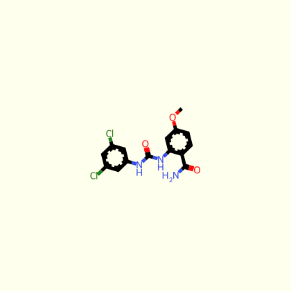 COc1ccc(C(N)=O)c(NC(=O)Nc2cc(Cl)cc(Cl)c2)c1